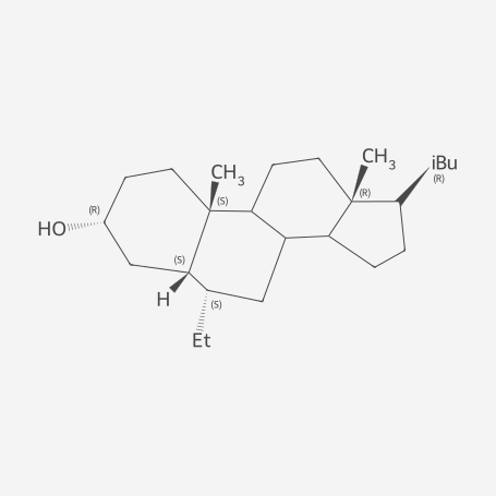 CC[C@H]1CC2C3CCC([C@H](C)CC)[C@@]3(C)CCC2[C@@]2(C)CC[C@@H](O)C[C@@H]12